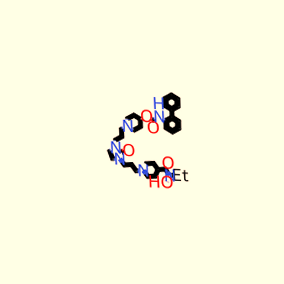 CCN(O)C(=O)C1CCN(CCCN2CCN(CCCN3CCC(OC(=O)Nc4ccccc4-c4ccccc4)CC3)C2=O)CC1